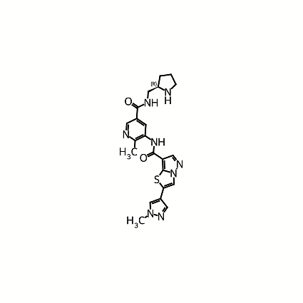 Cc1ncc(C(=O)NC[C@H]2CCCN2)cc1NC(=O)c1cnn2cc(-c3cnn(C)c3)sc12